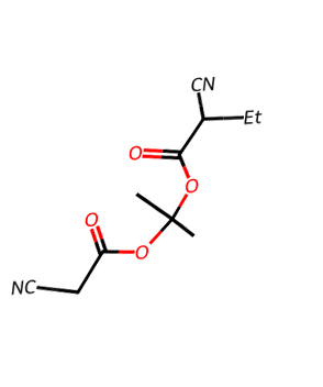 CCC(C#N)C(=O)OC(C)(C)OC(=O)CC#N